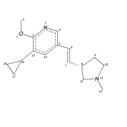 COc1ncc(/C=C/[C@@H]2CCN(C)C2)cc1C1CC1